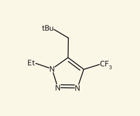 CCn1nnc(C(F)(F)F)c1CC(C)(C)C